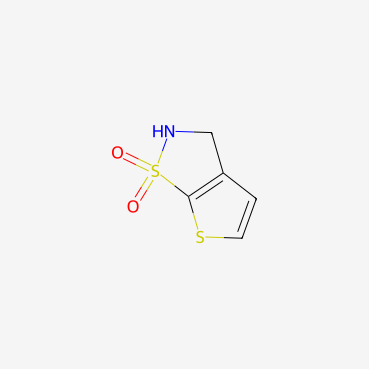 O=S1(=O)NCc2ccsc21